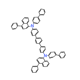 c1ccc(-c2ccc(N(c3ccc(-c4ccc(-c5ccc(N(c6ccc(-c7ccccc7)cc6)c6ccc(-c7ccccc7)c7ccccc67)cc5)cc4)cc3)c3ccc(-c4ccccc4)c4ccccc34)cc2)cc1